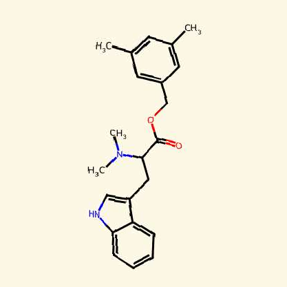 Cc1cc(C)cc(COC(=O)C(Cc2c[nH]c3ccccc23)N(C)C)c1